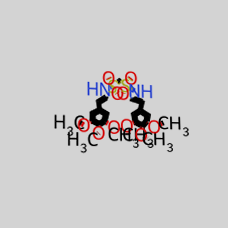 COc1cc(/C=C/NS(=O)(=O)CS(=O)(=O)N/C=C/c2cc(OC)c(OC)c(OC)c2)cc(OC)c1OC